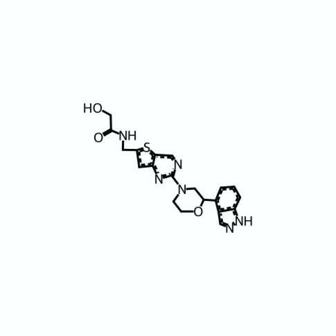 O=C(CO)NCc1cc2nc(N3CCOC(c4cccc5[nH]ncc45)C3)ncc2s1